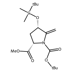 C=C1[C@@H](O[Si](C)(C)C(C)(C)C)C[C@@H](C(=O)OC)N1C(=O)OC(C)(C)C